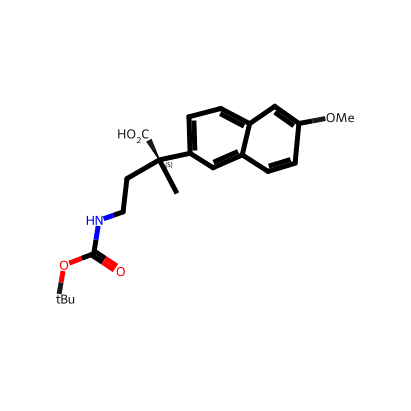 COc1ccc2cc([C@](C)(CCNC(=O)OC(C)(C)C)C(=O)O)ccc2c1